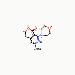 CC(C)(C)c1cc2c(c(N3CCOCC3)n1)C(=O)OCC2